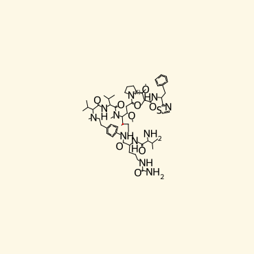 CCC(C)C(C(CC(=O)N1CCC[C@H]1C(OC)C(C)C(=O)NC(Cc1ccccc1)c1nccs1)OC)N(C)C(=O)C(NC(=O)C(C(C)C)N(C)CCc1ccc(NC(=O)C(CCCNC(N)=O)NC(=O)C(N)C(C)C)cc1)C(C)C